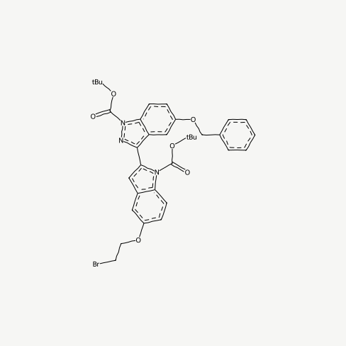 CC(C)(C)OC(=O)n1nc(-c2cc3cc(OCCBr)ccc3n2C(=O)OC(C)(C)C)c2cc(OCc3ccccc3)ccc21